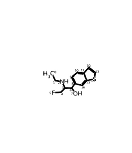 CCNC(CF)C(O)c1ccc2ccsc2c1